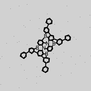 c1ccc(-c2ccc3c(c2)-c2cc4c5c6c2B3c2ccc3c7c2N6c2c(ccc6c2N7c2c7c(cc8c2B6c2ccc(-c6ccccc6)cc2-8)-c2cc(-c6ccccc6)ccc2B37)B5c2ccc(-c3ccccc3)cc2-4)cc1